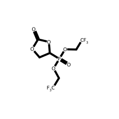 O=C1OCC(P(=O)(OCC(F)(F)F)OCC(F)(F)F)O1